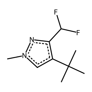 Cn1cc(C(C)(C)C)c(C(F)F)n1